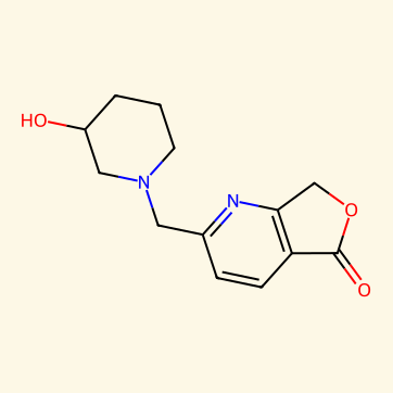 O=C1OCc2nc(CN3CCCC(O)C3)ccc21